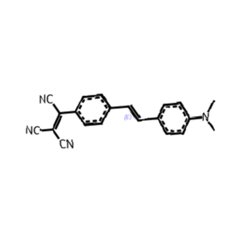 CN(C)c1ccc(/C=C/c2ccc(C(C#N)=C(C#N)C#N)cc2)cc1